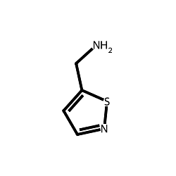 NCc1ccns1